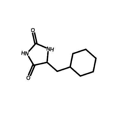 O=C1NC(=O)C(CC2CCCCC2)N1